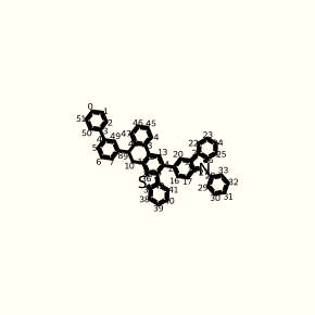 c1ccc(-c2cccc(C3Cc4c(cc(-c5ccc6c(c5)c5ccccc5n6-c5ccccc5)c5c4sc4ccccc45)-c4ccccc43)c2)cc1